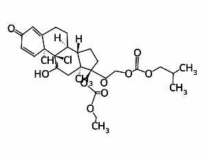 CCOC(=O)O[C@]1(C(=O)COC(=O)OCC(C)C)CC[C@H]2[C@@H]3CCC4=CC(=O)C=C[C@]4(C)[C@@]3(Cl)C(O)C[C@@]21C